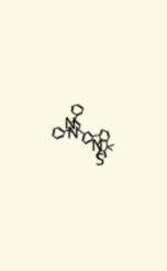 CC1(C)c2cscc2-n2c3ccc(-c4cc(-c5ccccc5)nc(-c5ccccc5)n4)cc3c3cccc1c32